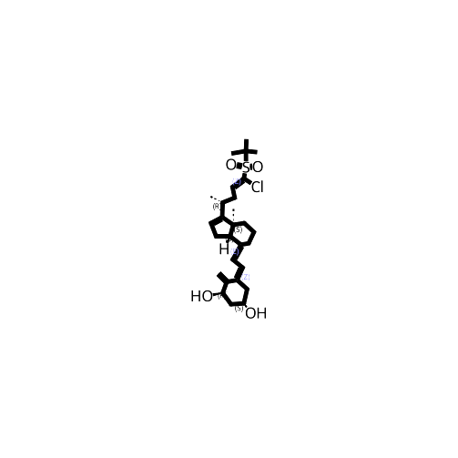 C=C1/C(=C\C=C2/CCC[C@]3(C)C([C@H](C)C/C=C(\Cl)S(=O)(=O)C(C)(C)C)=CC[C@@H]23)C[C@H](O)C[C@H]1O